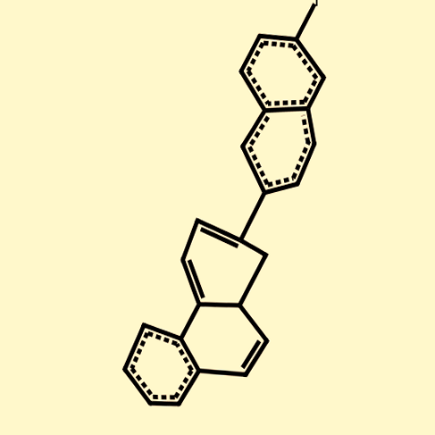 Ic1ccc2cc(C3=CC=C4c5ccccc5C=CC4C3)ccc2c1